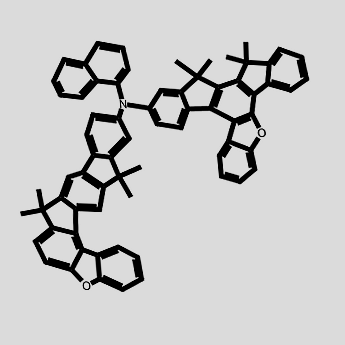 CC1(C)c2cc(N(c3ccc4c(c3)C(C)(C)c3c5c(c6oc7ccccc7c6c3-4)-c3ccccc3C5(C)C)c3cccc4ccccc34)ccc2-c2cc3c(cc21)-c1c(ccc2oc4ccccc4c12)C3(C)C